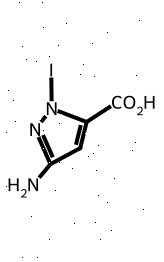 Nc1cc(C(=O)O)n(I)n1